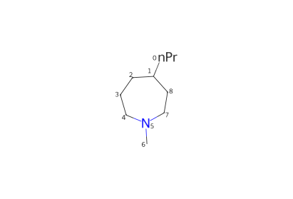 CCCC1CCCN(C)CC1